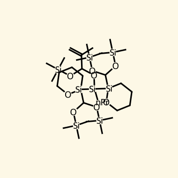 C=C(C)C(O[Si](C)(C)C)O[Si](CCC)([Si]1(C(O[Si](C)(C)C)O[Si](C)(C)C)CCCCO1)[Si]1(C(O[Si](C)(C)C)O[Si](C)(C)C)CCCCO1